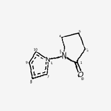 O=C1CCCN1n1cccc1